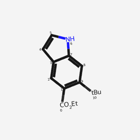 CCOC(=O)c1cc2cc[nH]c2cc1C(C)(C)C